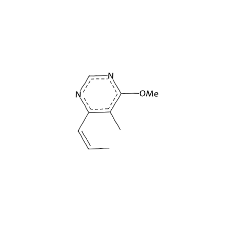 C/C=C\c1ncnc(OC)c1C